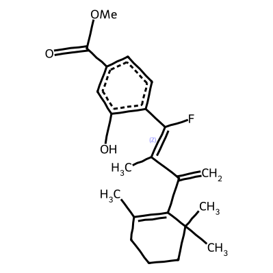 C=C(C1=C(C)CCCC1(C)C)/C(C)=C(\F)c1ccc(C(=O)OC)cc1O